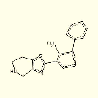 Cc1c(-c2ccccc2)cccc1-c1nc2c(s1)CCNC2